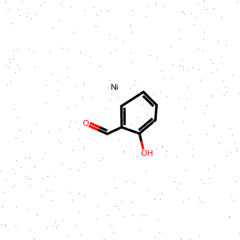 O=Cc1ccccc1O.[Ni]